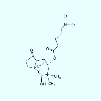 CCN(CC)CCSCC(=O)O[C@@H]1CC(C)(C)[C@@H](O)CC23CCCC1C2C(=O)CC3